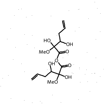 C=CCC(O)C(O)(OC)C(=O)OC(=O)C(O)(OC)C(O)CC=C